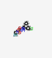 O=C(NS(=O)(=O)N1CCCC(F)(F)C1)N1C[C@H](c2ccccc2)C(c2ccc(Cl)cc2)=N1